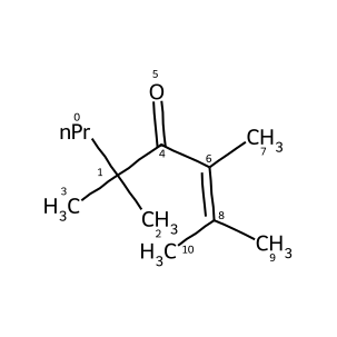 CCCC(C)(C)C(=O)C(C)=C(C)C